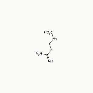 N=C(N)CCNC(=O)O